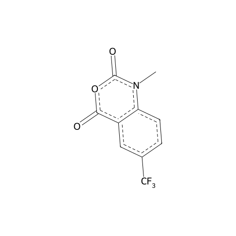 Cn1c(=O)oc(=O)c2cc(C(F)(F)F)ccc21